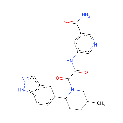 CC1CCC(c2ccc3[nH]ncc3c2)N(C(=O)C(=O)Nc2cncc(C(N)=O)c2)C1